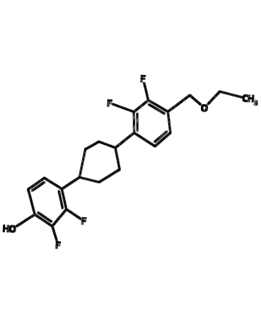 CCOCc1ccc(C2CCC(c3ccc(O)c(F)c3F)CC2)c(F)c1F